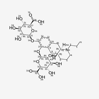 CCCN1CCC[C@@H]2Cc3c(ccc(O[C@@H]4O[C@H](C(=O)O)[C@@H](O)[C@H](O)[C@H]4O)c3O[C@@H]3O[C@H](C(=O)O)[C@@H](O)[C@H](O)[C@H]3O)C[C@H]21